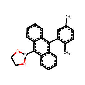 Cc1ccc(C)c(-c2c3ccccc3c(B3OCCO3)c3ccccc23)c1